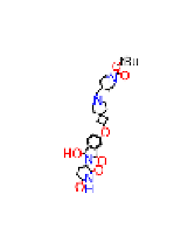 CC(C)(C)OC(=O)N1CCC(CN2CCC3(CC2)CC(Oc2ccc4c(c2)C(=O)N(C2CCC(=O)NC2=O)C4O)C3)CC1